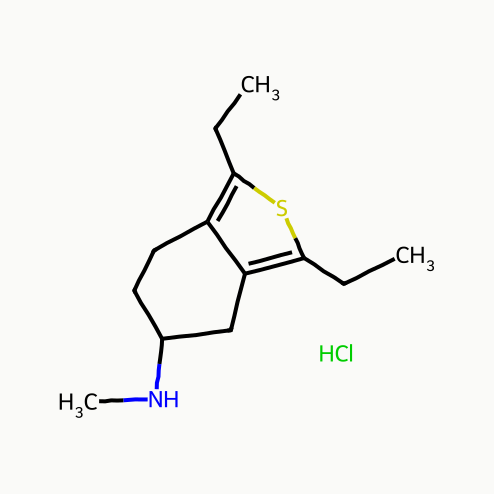 CCc1sc(CC)c2c1CCC(NC)C2.Cl